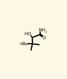 CCCCC(C)(C)C(O)C(N)=O